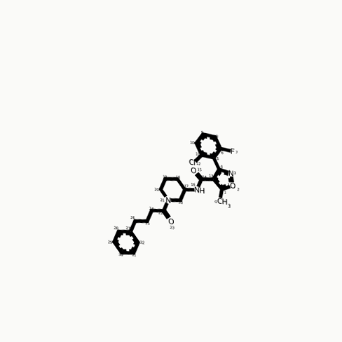 Cc1onc(-c2c(F)cccc2Cl)c1C(=O)NC1CCCN(C(=O)CCCc2ccccc2)C1